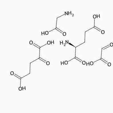 NCC(=O)O.N[C@@H](CCC(=O)O)C(=O)O.O=C(O)CCC(=O)C(=O)O.O=CC(=O)O